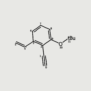 C#Cc1c([C]=C)cccc1OC(C)(C)C